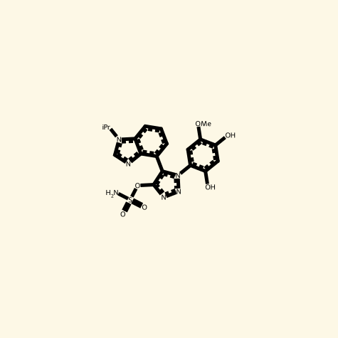 COc1cc(-n2nnc(OS(N)(=O)=O)c2-c2cccc3c2ncn3C(C)C)c(O)cc1O